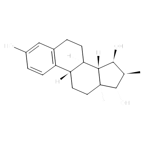 C[C@@H]1[C@H](O)[C@H]2[C@@H]3CCc4cc(O)ccc4[C@H]3CC[C@]2(C)[C@H]1O